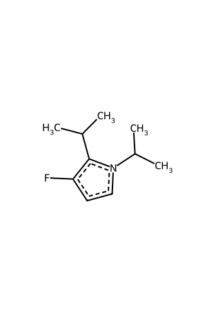 CC(C)c1c(F)ccn1C(C)C